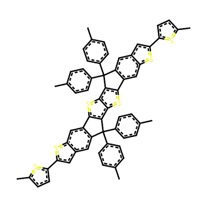 Cc1ccc(C2(c3ccc(C)cc3)c3cc4cc(-c5ccc(C)s5)sc4cc3-c3sc4c5c(sc4c32)-c2cc3sc(-c4ccc(C)s4)cc3cc2C5(c2ccc(C)cc2)c2ccc(C)cc2)cc1